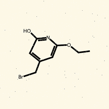 CCOc1cc(CBr)cc(O)n1